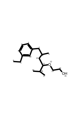 CCc1cccc(CC(C)CC(OCCO)C(C)C)c1